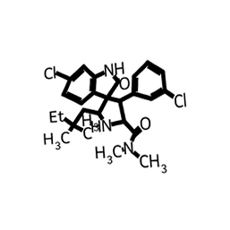 CCC(C)(C)CC1NC(C(=O)N(C)C)C(c2cccc(Cl)c2)C12C(=O)Nc1cc(Cl)ccc12